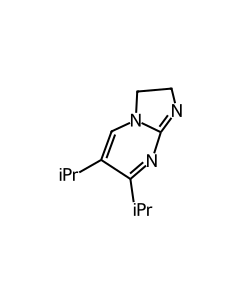 CC(C)C1=CN2CCN=C2N=C1C(C)C